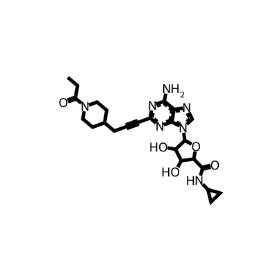 CCC(=O)N1CCC(CC#Cc2nc(N)c3ncn(C4OC(C(=O)NC5CC5)C(O)C4O)c3n2)CC1